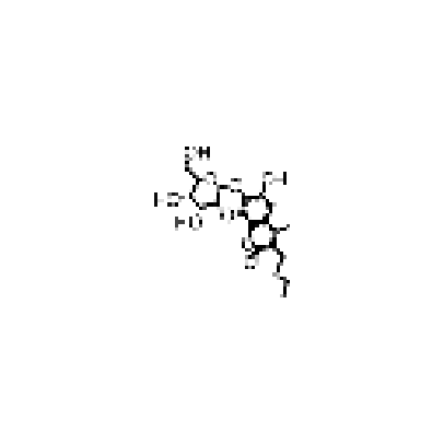 CCCCc1c(C)c2cc(O)c(O[C@@H]3OC(CO)[C@@H](O)[C@@H](O)C3O)cc2oc1=O